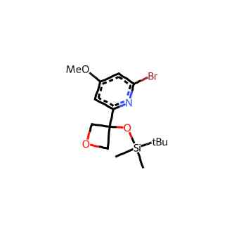 COc1cc(Br)nc(C2(O[Si](C)(C)C(C)(C)C)COC2)c1